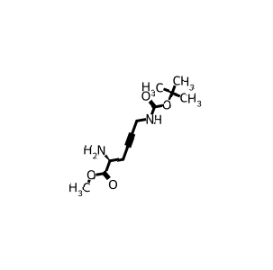 COC(=O)[C@@H](N)CC#CCNC(=O)OC(C)(C)C